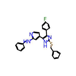 Fc1ccc(-c2nc(SCc3ccccc3)[nH]c2-c2ccnc(NCc3ccccc3)c2)cc1